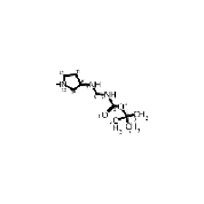 CC(C)(C)OC(=O)NCNC1CCNC1